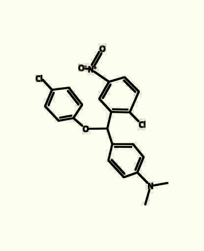 CN(C)c1ccc(C(Oc2ccc(Cl)cc2)c2cc([N+](=O)[O-])ccc2Cl)cc1